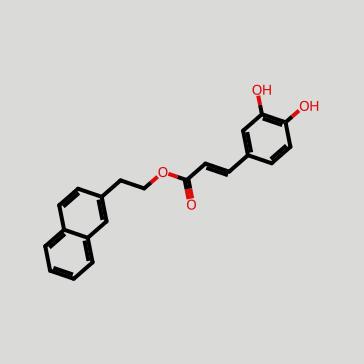 O=C(C=Cc1ccc(O)c(O)c1)OCCc1ccc2ccccc2c1